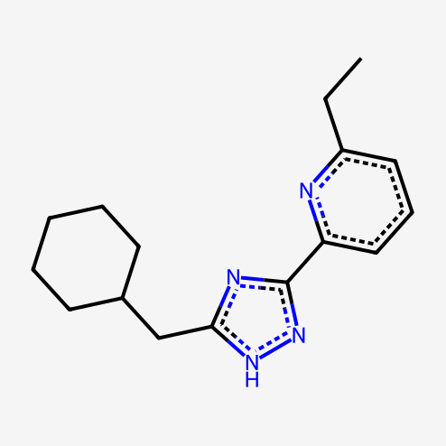 CCc1cccc(-c2n[nH]c(CC3CCCCC3)n2)n1